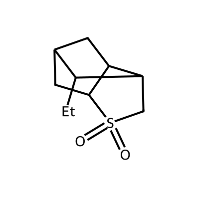 CCC1C2CC3C1CS(=O)(=O)C3C2